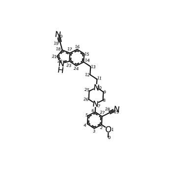 COc1cccc(N2CCN(CCCc3ccc4c(C#N)c[nH]c4c3)CC2)c1C#N